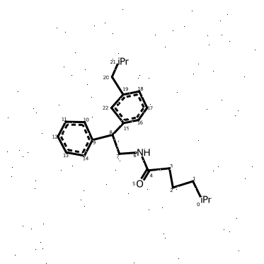 CC(C)CCCC(=O)NCC(c1ccccc1)c1cccc(CC(C)C)c1